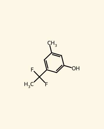 Cc1cc(O)cc(C(C)(F)F)c1